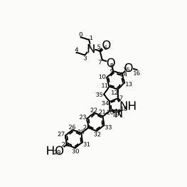 CCN(CC)C(=O)COc1cc2c(cc1OC)-c1[nH]nc(-c3ccc(-c4ccc(O)cc4)cc3)c1C2